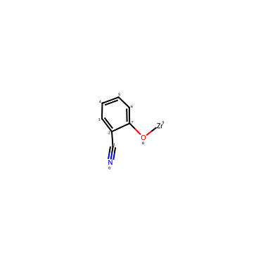 N#Cc1ccccc1[O][Zr]